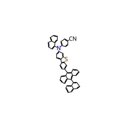 N#Cc1ccc(N(c2ccc3c(c2)sc2cc(-c4c5ccccc5c(-c5cccc6ccccc56)c5ccccc45)ccc23)c2cccc3ccccc23)cc1